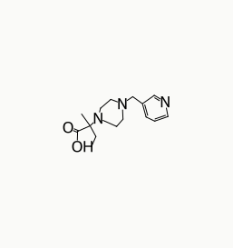 CCC(C)(C(=O)O)N1CCN(Cc2cccnc2)CC1